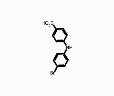 O=C(O)c1ccc(Nc2ccc(Br)cc2)cc1